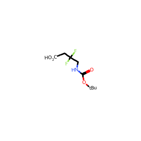 CC(C)(C)OC(=O)NCC(F)(F)CC(=O)O